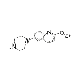 CCOc1ccc2cc(N3CCN(C)CC3)ccc2n1